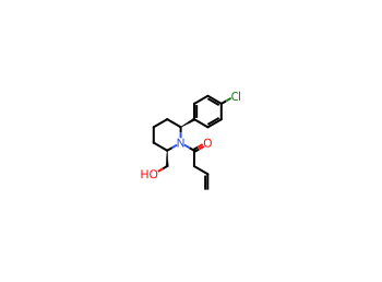 C=CCC(=O)N1[C@@H](CO)CCC[C@H]1c1ccc(Cl)cc1